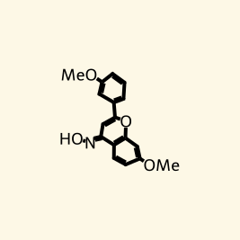 COc1cccc(-c2c/c(=N\O)c3ccc(OC)cc3o2)c1